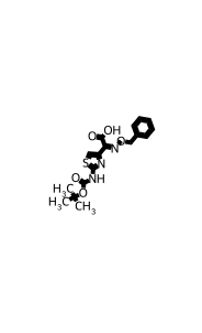 CC(C)(C)OC(=O)Nc1nc(C(=NOCc2ccccc2)C(=O)O)cs1